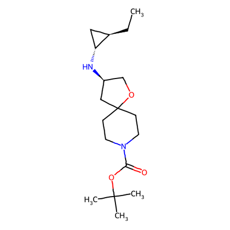 CC[C@@H]1C[C@H]1N[C@H]1COC2(CCN(C(=O)OC(C)(C)C)CC2)C1